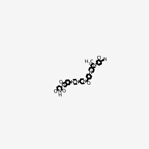 CC1CC2(CCN(c3ccc(C(=O)N4CCC(N5CCN(c6ccc7c(c6)CN(C6CCC(=O)NC6=O)C7=O)CC5)CC4)cc3)CC2)CN1c1ccc(C#N)c(Cl)c1